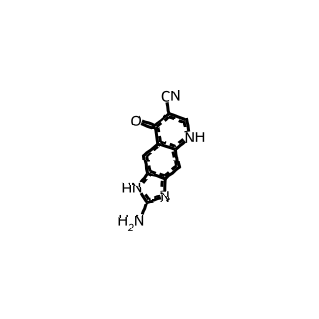 N#Cc1c[nH]c2cc3nc(N)[nH]c3cc2c1=O